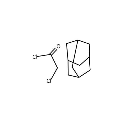 C1C2CC3CC1CC(C2)C3.O=C(Cl)CCl